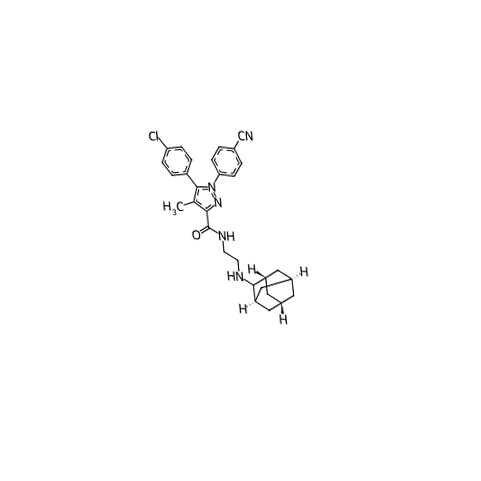 Cc1c(C(=O)NCCNC2[C@H]3C[C@@H]4C[C@@H](C[C@H]2C4)C3)nn(-c2ccc(C#N)cc2)c1-c1ccc(Cl)cc1